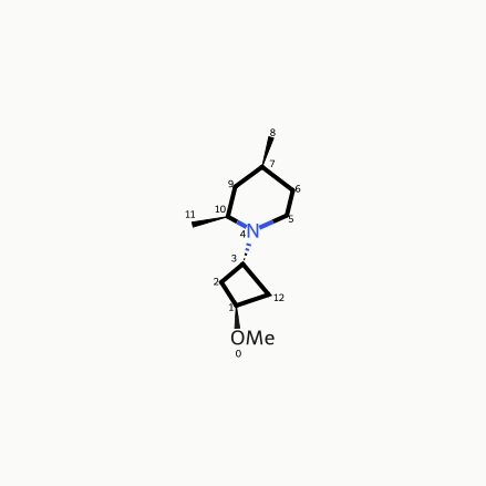 CO[C@H]1C[C@H](N2CC[C@H](C)C[C@@H]2C)C1